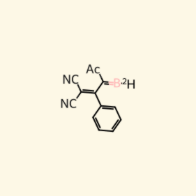 [2H]B=C(C(C)=O)C(=C(C#N)C#N)c1ccccc1